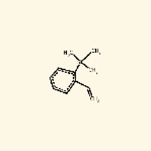 C=Cc1ccccc1[Si](C)(C)C